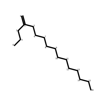 C=C(CCC)CCCCCCCCCCCC